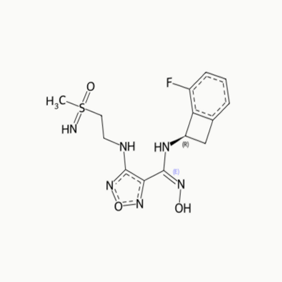 CS(=N)(=O)CCNc1nonc1/C(=N\O)N[C@@H]1Cc2cccc(F)c21